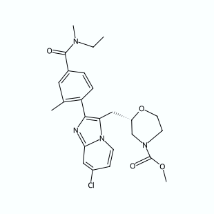 CCN(C)C(=O)c1ccc(-c2nc3cc(Cl)ccn3c2C[C@H]2CN(C(=O)OC)CCO2)c(C)c1